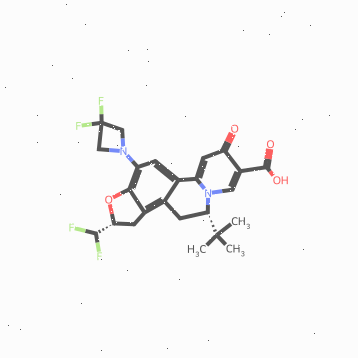 CC(C)(C)[C@@H]1Cc2c(cc(N3CC(F)(F)C3)c3c2C[C@H](C(F)F)O3)-c2cc(=O)c(C(=O)O)cn21